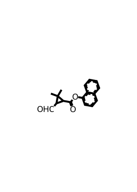 CC1(C)C(C=O)C1C(=O)Oc1cccc2ccccc12